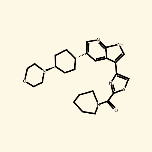 O=C(c1nc(-c2c[nH]c3ncc([C@H]4CC[C@H](N5CCOCC5)CC4)cc23)cs1)N1CCCCC1